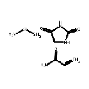 C=CC(N)=O.O=C1CNC(=O)N1.[SiH3]O[SiH3]